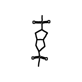 CS(=O)(=O)C1CC2CC(S(C)(=O)=O)CC2C1